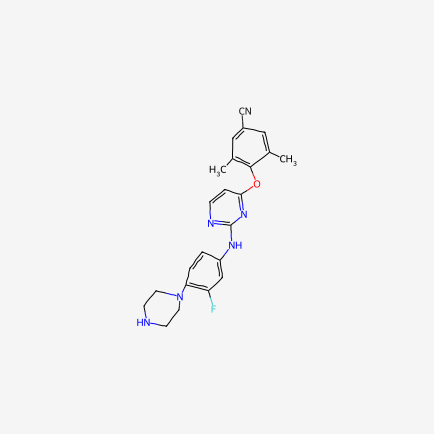 Cc1cc(C#N)cc(C)c1Oc1ccnc(Nc2ccc(N3CCNCC3)c(F)c2)n1